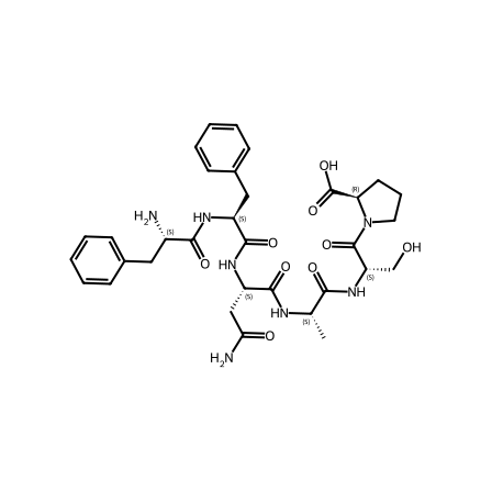 C[C@H](NC(=O)[C@H](CC(N)=O)NC(=O)[C@H](Cc1ccccc1)NC(=O)[C@@H](N)Cc1ccccc1)C(=O)N[C@@H](CO)C(=O)N1CCC[C@@H]1C(=O)O